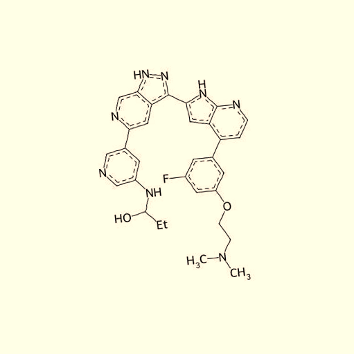 CCC(O)Nc1cncc(-c2cc3c(-c4cc5c(-c6cc(F)cc(OCCN(C)C)c6)ccnc5[nH]4)n[nH]c3cn2)c1